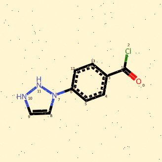 O=C(Cl)c1ccc(N2C=CNN2)cc1